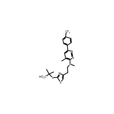 Cc1cc(-c2ccc(C(F)(F)F)cc2)nnc1N(C)CCc1csc(SC(C)(C)C(=O)O)n1